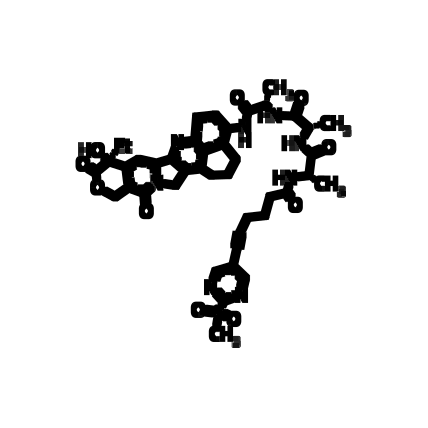 CC[C@@]1(O)C(=O)OCc2c1cc1n(c2=O)Cc2c-1nc1ccc(NC(=O)[C@H](C)NC(=O)[C@H](C)NC(=O)[C@H](C)NC(=O)CCCC#Cc3cnc(S(C)(=O)=O)nc3)c3c1c2CCC3